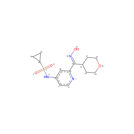 O=S(=O)(Nc1ccnc(C(=NO)C2CCOCC2)c1)C1CC1